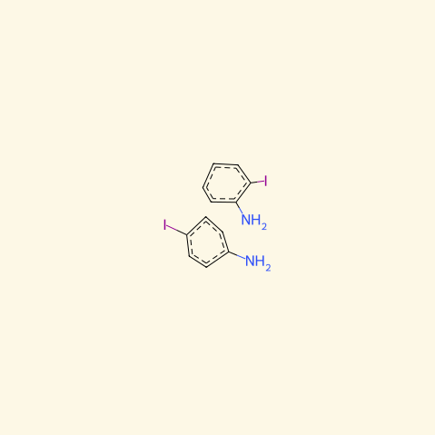 Nc1ccc(I)cc1.Nc1ccccc1I